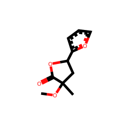 COC1(C)CC(c2ccco2)OC1=O